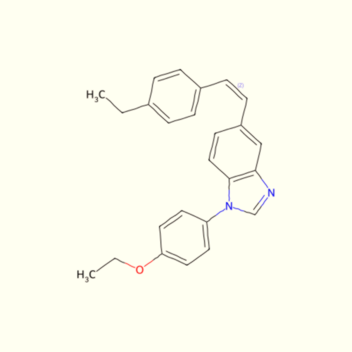 CCOc1ccc(-n2cnc3cc(/C=C\c4ccc(CC)cc4)ccc32)cc1